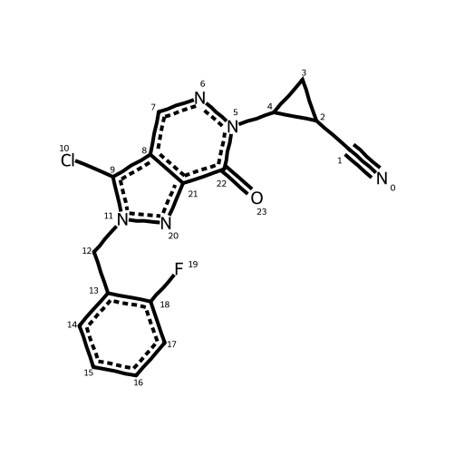 N#CC1CC1n1ncc2c(Cl)n(Cc3ccccc3F)nc2c1=O